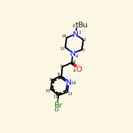 CC(C)(C)N1CCN(C(=O)Cc2ccc(Br)cn2)CC1